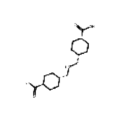 O=C(O)[C@H]1CC[C@H](CNC[C@H]2CC[C@H](C(=O)O)CC2)CC1